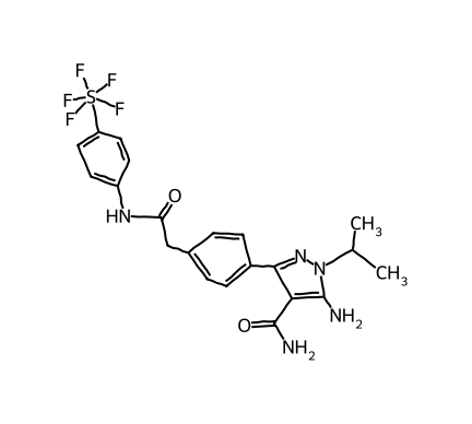 CC(C)n1nc(-c2ccc(CC(=O)Nc3ccc(S(F)(F)(F)(F)F)cc3)cc2)c(C(N)=O)c1N